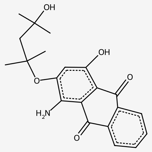 CC(C)(O)CC(C)(C)Oc1cc(O)c2c(c1N)C(=O)c1ccccc1C2=O